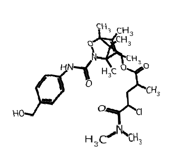 CC1=C(C)C2(C)N(C(=O)Nc3ccc(CO)cc3)OC1(C)C2(C)COC(=O)C(C)CC(Cl)C(=O)N(C)C